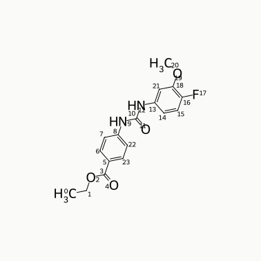 CCOC(=O)c1ccc(NC(=O)Nc2ccc(F)c(OC)c2)cc1